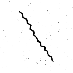 [CH2]CCC/C=C/C/C=C/C/C=C/CCCCCCC